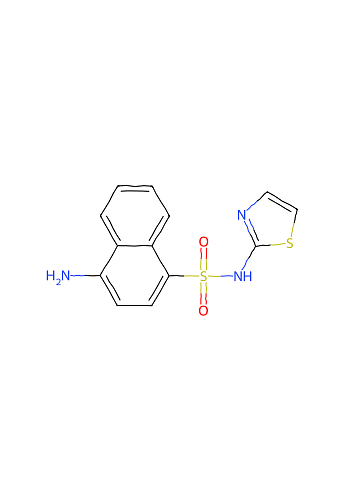 Nc1ccc(S(=O)(=O)Nc2nccs2)c2ccccc12